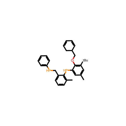 Cc1cc(Pc2c(C)cccc2CPc2ccccc2)c(OCC2C=CC=CC2)c(C(C)(C)C)c1